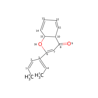 C/C=C\C(=C/C)C1=CC(=O)C2C=CC=CC2O1